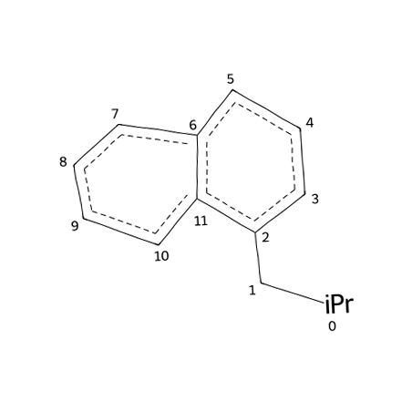 CC(C)Cc1cccc2ccccc12